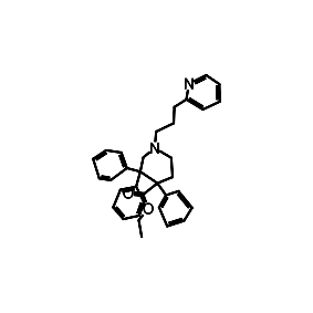 CCOC(=O)C1(c2ccccc2)CCN(CCCc2ccccn2)CC1(c1ccccc1)c1ccccc1